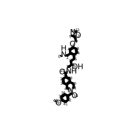 CNCc1cc(OCc2cnco2)ccc1CC[C@H](O)CNC(=O)c1ccc2c(c1)CCN(C(=O)c1ccc(OC)cc1)C2